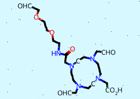 O=CCOCCOCCNC(=O)CN1CCN(CC=O)CCN(CC(=O)O)CCN(CC=O)CC1